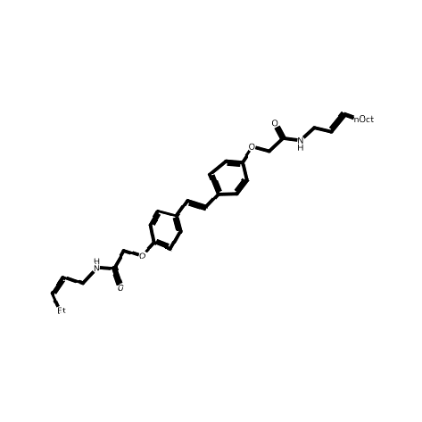 CC/C=C\CNC(=O)COc1ccc(/C=C/c2ccc(OCC(=O)NC/C=C/CCCCCCCC)cc2)cc1